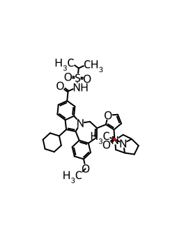 COc1ccc2c(c1)C=C(c1occc1C(=O)N1C3CCC1CN(C)C3)Cn1c-2c(C2CCCCC2)c2ccc(C(=O)NS(=O)(=O)C(C)C)cc21